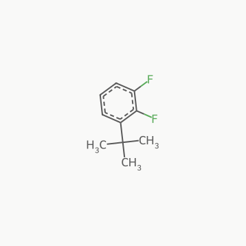 CC(C)(C)c1cccc(F)c1F